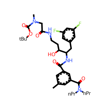 CCCN(CCC)C(=O)c1cc(C)cc(C(=O)NC(Cc2cc(F)cc(F)c2)C(O)CCNC(=O)CN(C)C(=O)OC(C)(C)C)c1